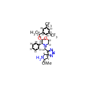 COCCC1(CN)N=NN=C1CN1CCO[C@H](O[C@H](C)c2cc(C(F)(F)F)cc(C(F)(F)F)c2)[C@@H]1c1ccccc1